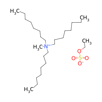 CCCCCCCC[N+](C)(CCCCCCCC)CCCCCCCC.CCOS(=O)(=O)[O-]